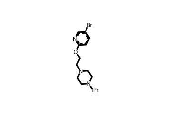 CC(C)N1CCN(CCOc2ccc(Br)cn2)CC1